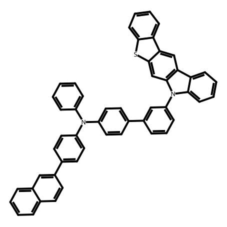 c1ccc(N(c2ccc(-c3cccc(-n4c5ccccc5c5cc6c(cc54)sc4ccccc46)c3)cc2)c2ccc(-c3ccc4ccccc4c3)cc2)cc1